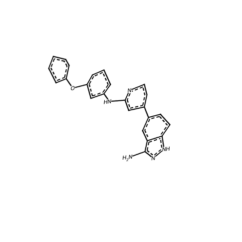 Nc1n[nH]c2ccc(-c3ccnc(Nc4cccc(Oc5ccccc5)c4)c3)cc12